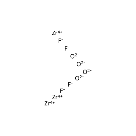 [F-].[F-].[F-].[F-].[O-2].[O-2].[O-2].[O-2].[Zr+4].[Zr+4].[Zr+4]